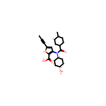 CC#Cc1cc(N(C(=O)C2CCC(C)CC2)[C@H]2CC[C@H](O)CC2)c(C(=O)O)s1